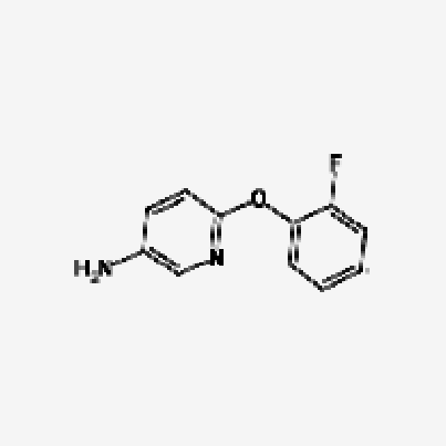 Nc1ccc(Oc2cc[c]cc2F)nc1